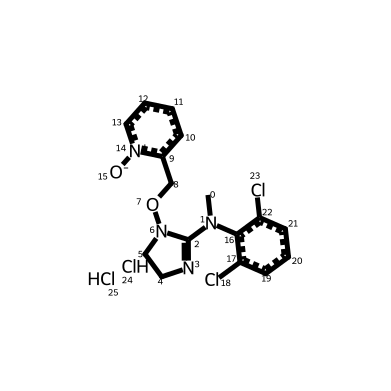 CN(C1=NCCN1OCc1cccc[n+]1[O-])c1c(Cl)cccc1Cl.Cl.Cl